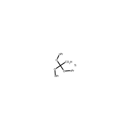 CCCOC(OCCC)(OCCC)C(=O)O.[Ti]